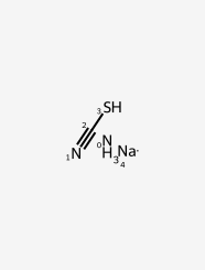 N.N#CS.[Na]